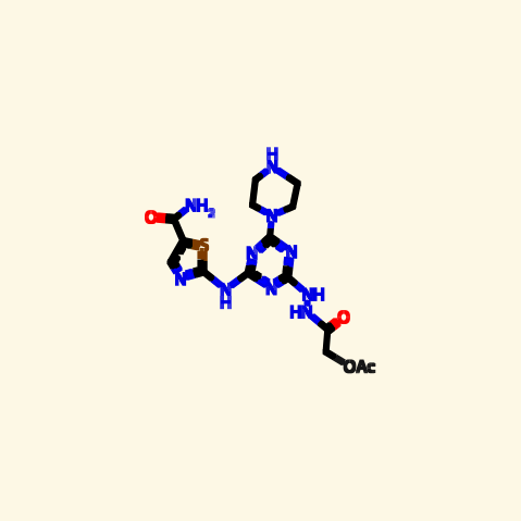 CC(=O)OCC(=O)NNc1nc(Nc2ncc(C(N)=O)s2)nc(N2CCNCC2)n1